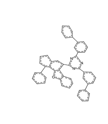 c1ccc(-c2cccc(-c3nc(-c4cccc(-c5ccccc5)c4)nc(-c4cc5cccc(-c6ccccc6)c5c5oc6ccccc6c45)n3)c2)cc1